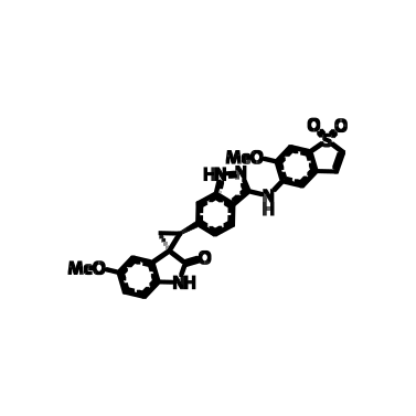 COc1ccc2c(c1)[C@]1(C[C@H]1c1ccc3c(Nc4cc5c(cc4OC)S(=O)(=O)C=C5)n[nH]c3c1)C(=O)N2